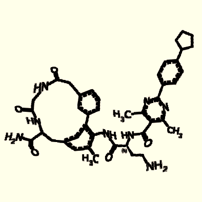 Cc1cc2cc(c1NC(=O)[C@H](CCN)NC(=O)c1c(C)nc(-c3ccc(C4CCCC4)cc3)nc1C)-c1cccc(c1)CC(=O)NCC(=O)NC(C(N)=O)C2